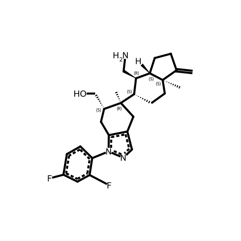 C=C1CC[C@H]2[C@H](CN)[C@@H]([C@@]3(C)Cc4cnn(-c5ccc(F)cc5F)c4C[C@@H]3CO)CC[C@]12C